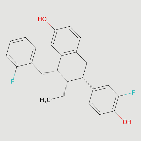 CC[C@H]1[C@@H](c2ccc(O)c(F)c2)Cc2ccc(O)cc2[C@H]1Cc1ccccc1F